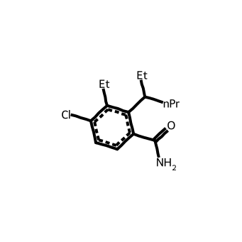 CCCC(CC)c1c(C(N)=O)ccc(Cl)c1CC